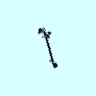 CC(C)(C)OC(=O)C(CCC(=O)ON1C(=O)CCC1=O)NC(=O)CCCCCCCCCCCCCCCCC(=O)OCc1ccccc1